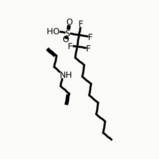 C=CCNCC=C.CCCCCCCCCCC(F)(F)C(F)(F)S(=O)(=O)O